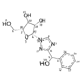 OC[C@H]1O[C@@H](n2cnc(C(O)c3ccccc3)n2)C(O)C1O